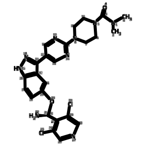 CN(C)C(=O)N1CCN(c2ncc(-c3n[nH]c4ccc(O[C@H](N)c5c(Cl)cncc5Cl)cc34)cn2)CC1